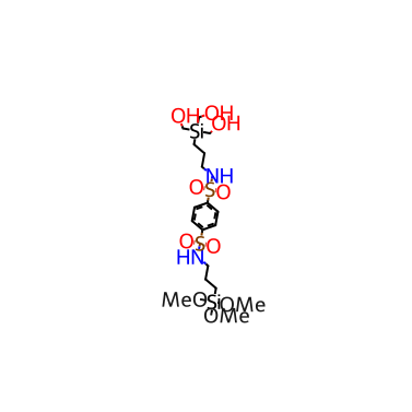 CO[Si](CCCNS(=O)(=O)c1ccc(S(=O)(=O)NCCC[Si](CO)(CO)CO)cc1)(OC)OC